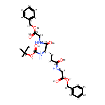 CC(C)(C)OC(=O)N[C@@H](CCC(=O)NCC(=O)OCc1ccccc1)C(=O)NCC(=O)OCc1ccccc1